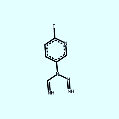 N=CN(N=N)c1ccc(F)nc1